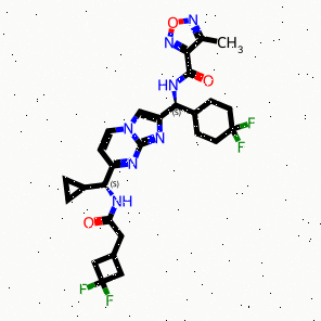 Cc1nonc1C(=O)N[C@H](c1cn2ccc([C@@H](NC(=O)CC3CC(F)(F)C3)C3CC3)nc2n1)C1CCC(F)(F)CC1